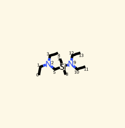 CCN(CC)C[Si](C)(C)N(CC)CC